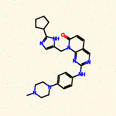 CN1CCN(c2ccc(Nc3ncc4ccc(=O)n(Cc5cnc(C6CCCC6)[nH]5)c4n3)cc2)CC1